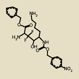 NCCCCC(NC(=O)OCc1ccc([N+](=O)[O-])cc1)C(O)C(F)(F)C(N)C(=O)OCc1ccccc1